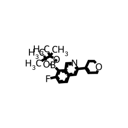 CC1(C)OB(c2c(F)ccc3cc(C4=CCOCC4)ncc23)OC1(C)C